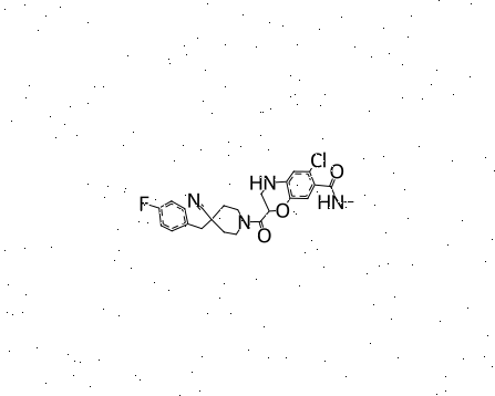 CNC(=O)c1cc2c(cc1Cl)NCC(C(=O)N1CCC(C#N)(Cc3ccc(F)cc3)CC1)O2